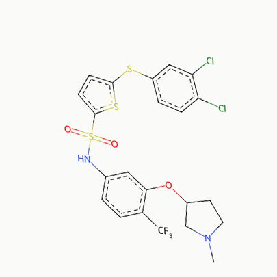 CN1CCC(Oc2cc(NS(=O)(=O)c3ccc(Sc4ccc(Cl)c(Cl)c4)s3)ccc2C(F)(F)F)C1